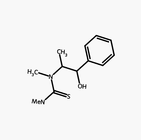 CNC(=S)N(C)C(C)C(O)c1ccccc1